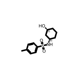 Cc1ccc(S(=O)(=O)N[C@@H]2CCC[C@H](O)C2)cc1